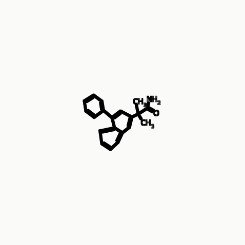 CC(C)(C(N)=O)c1cc(-c2ccccc2)c2ccccc2c1